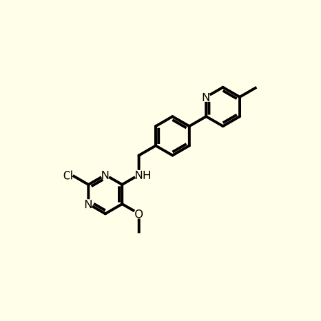 COc1cnc(Cl)nc1NCc1ccc(-c2ccc(C)cn2)cc1